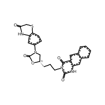 O=C1CSc2ccc(N3C[C@H](CCCn4c(=O)[nH]c5cc6ccccc6cc5c4=O)OC3=O)cc2N1